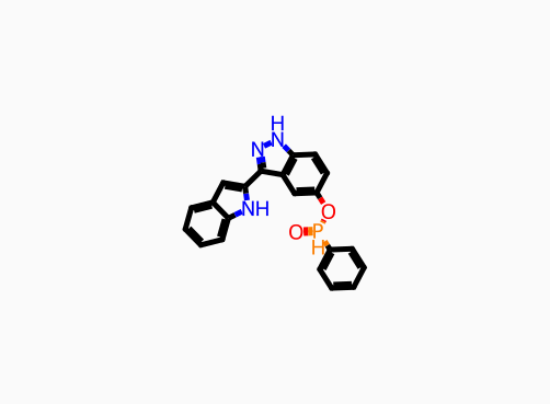 O=[PH](Oc1ccc2[nH]nc(-c3cc4ccccc4[nH]3)c2c1)c1ccccc1